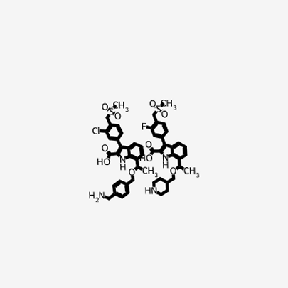 CC(OCC1CCNCC1)c1cccc2c(-c3ccc(CS(C)(=O)=O)c(F)c3)c(C(=O)O)[nH]c12.CC(OCc1ccc(CN)cc1)c1cccc2c(-c3ccc(CS(C)(=O)=O)c(Cl)c3)c(C(=O)O)[nH]c12